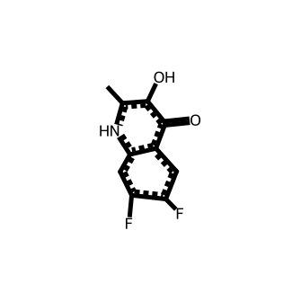 Cc1[nH]c2cc(F)c(F)cc2c(=O)c1O